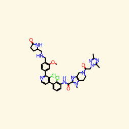 COc1cc(-c2nccc(-c3cccc(NC(=O)c4nc5c(n4C)CCN(C(=O)Cn4nc(C)nc4C)C5)c3Cl)c2Cl)ccc1CNCC1CCC(=O)N1